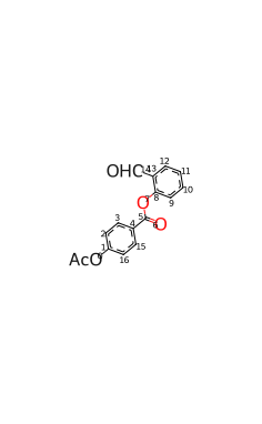 CC(=O)Oc1ccc(C(=O)Oc2ccccc2C=O)cc1